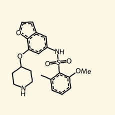 COc1cccc(C)c1S(=O)(=O)Nc1cc(OC2CCNCC2)c2occc2c1